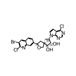 O[C@H]1[C@H](n2ccc3c(Cl)ncnc32)C[C@@]2(CO[C@@H](c3ccc4cc(Br)c(Cl)nc4c3)C2)[C@H]1O